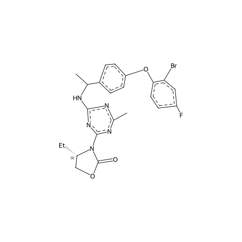 CC[C@H]1COC(=O)N1c1nc(C)nc(NC(C)c2ccc(Oc3ccc(F)cc3Br)cc2)n1